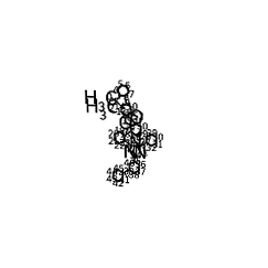 CC1(C)c2ccccc2-c2cc3c(cc21)Oc1c(-c2ccccc2-c2nc(-c4ccccc4)nc(-c4cccc(-c5ccccc5)c4)n2)c#ccc1O3